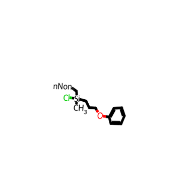 CCCCCCCCCC[Si](C)(Cl)CCCOc1ccccc1